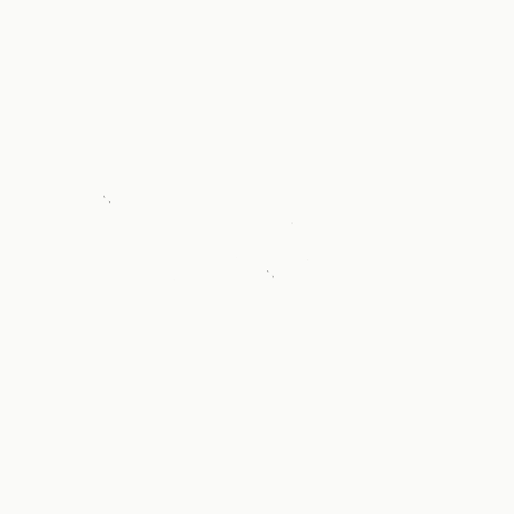 Cc1c(SCCN(C)C)c2ccccc2n1S(=O)(=O)c1ccc2ccccc2c1